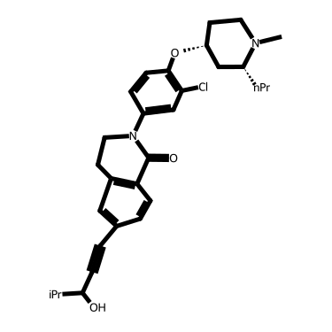 CCC[C@@H]1C[C@H](Oc2ccc(N3CCc4cc(C#CC(O)C(C)C)ccc4C3=O)cc2Cl)CCN1C